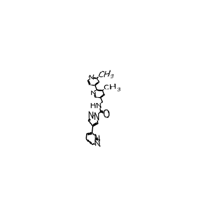 Cc1cc(-c2ncc(CNC(=O)n3cc(-c4cccnn4)cn3)cc2C)ccn1